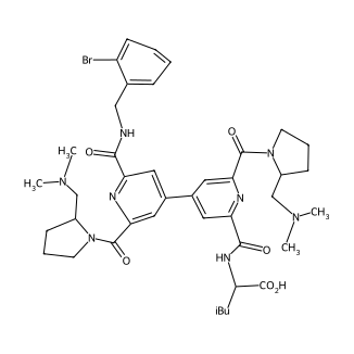 CCC(C)C(NC(=O)c1cc(-c2cc(C(=O)NCc3ccccc3Br)nc(C(=O)N3CCCC3CN(C)C)c2)cc(C(=O)N2CCCC2CN(C)C)n1)C(=O)O